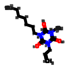 C=CCn1c(=O)n(CCCCCCC(C)(C)C)c(=O)n(C(C)(C)C)c1=O